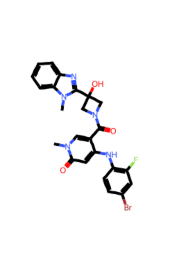 Cn1cc(C(=O)N2CC(O)(c3nc4ccccc4n3C)C2)c(Nc2ccc(Br)cc2F)cc1=O